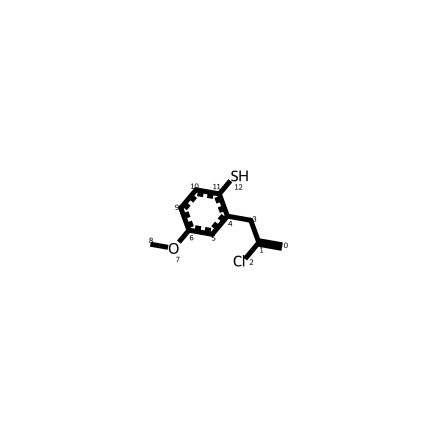 C=C(Cl)Cc1cc(OC)ccc1S